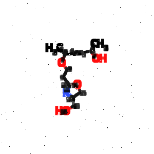 CC(O)C#CC(C)OCCC1=NC(CO)CO1